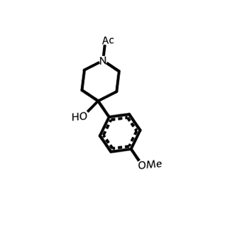 COc1ccc(C2(O)CCN(C(C)=O)CC2)cc1